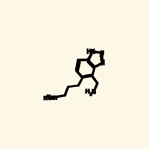 CCCCCCCCCCCCc1ccc2[nH]nnc2c1CN